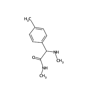 CNC(=O)C(NC)c1ccc(C)cc1